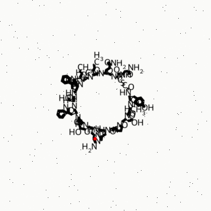 CCCC[C@H]1C(=O)N(C)[C@@H](CCCC)C(=O)NC(CCC(N)=O)C(=O)N[C@H](C(=O)NCC(N)=O)CSCC(=O)N[C@@H](Cc2ccc(O)cc2)C(=O)N[C@H](C)C(=O)N[C@@H](CC(=O)O)C(=O)N2CCC[C@H]2C(=O)N[C@@H](Cc2cnc[nH]2)C(=O)N[C@@H](CCCCN)C(=O)N2C[C@H](O)C[C@H]2C(=O)N[C@@H](Cc2c[nH]c3ccccc23)C(=O)N[C@@H](CO)C(=O)N[C@@H](Cc2c[nH]c3ccccc23)C(=O)N1C